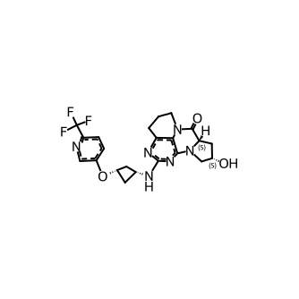 O=C1[C@@H]2C[C@H](O)CN2c2nc(N[C@H]3C[C@@H](Oc4ccc(C(F)(F)F)nc4)C3)nc3c2N1CCC3